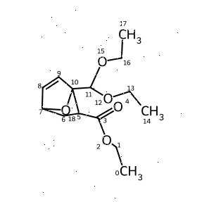 CCOC(=O)C1CC2C=CC1(C(OCC)OCC)O2